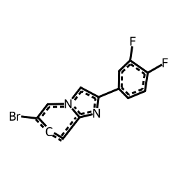 Fc1ccc(-c2cn3cc(Br)ccc3n2)cc1F